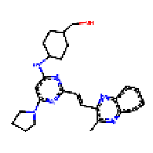 Cc1nc2ccccc2nc1C=Cc1nc(NC2CCC(CO)CC2)cc(N2CCCC2)n1